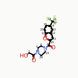 O=C(CO)N1CCN(C(=O)c2cc3cc(C(F)(F)F)ccc3o2)CC1